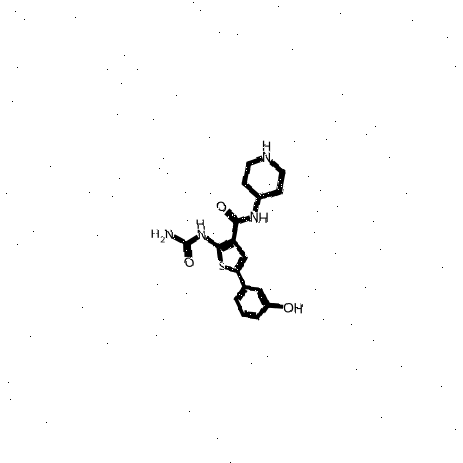 NC(=O)Nc1sc(-c2cccc(O)c2)cc1C(=O)NC1CCNCC1